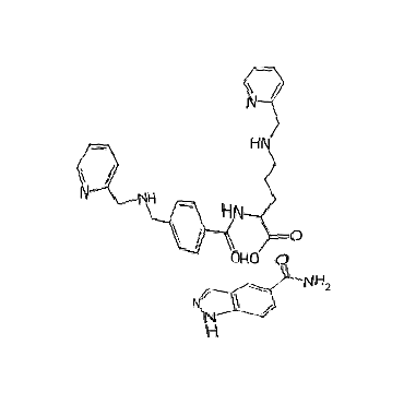 NC(=O)c1ccc2[nH]ncc2c1.O=C(NC(CCCNCc1ccccn1)C(=O)O)c1ccc(CNCc2ccccn2)cc1